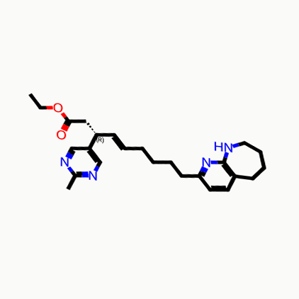 CCOC(=O)C[C@H](C=CCCCCc1ccc2c(n1)NCCCC2)c1cnc(C)nc1